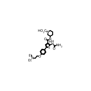 CCN(CC)CCOc1ccc(-c2cc(C(=O)NC3CCCN(C(=O)O)C3)c(NC(N)=O)s2)cc1